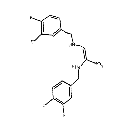 O=[N+]([O-])C(=CNCc1ccc(F)c(F)c1)NCc1ccc(F)c(F)c1